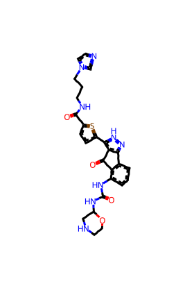 O=C(Nc1cccc2c1C(=O)c1c-2n[nH]c1-c1ccc(C(=O)NCCCn2ccnc2)s1)NC1CNCCO1